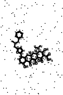 CN(Cc1ccccc1)Cc1ccc(-c2ccc(O)c3c2C[C@H]2C[C@H]4[C@H](N(C)C)C(O)=C(C(N)=O)C(=O)[C@@]4(O)C(O)=C2C3=O)o1